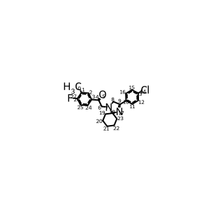 Cc1cc(C(=O)CN2CC(c3ccc(Cl)cc3)=NC23CCCCC3)ccc1F